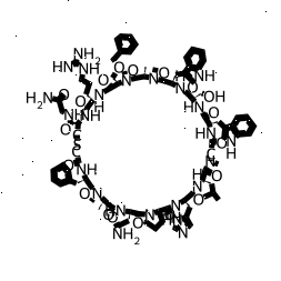 CC(C)C[C@@H]1NC(=O)[C@H](Cc2cnc[nH]2)NC(=O)[C@@H]2CCCN2C(=O)[C@H](CC(N)=O)NC(=O)[C@H](C)N(C)C(=O)[C@H](Cc2ccccc2)NC(=O)CSC[C@@H](C(=O)NCC(N)=O)NC(=O)[C@H](CCCNC(=N)N)NC(=O)[C@H](COCc2ccccc2)N(C)C(=O)[C@H](C)N(C)C(=O)[C@H](Cc2c[nH]c3ccccc23)NC(=O)[C@H](CO)NC(=O)[C@H](Cc2c[nH]c3ccccc23)NC(=O)CN(C)C1=O